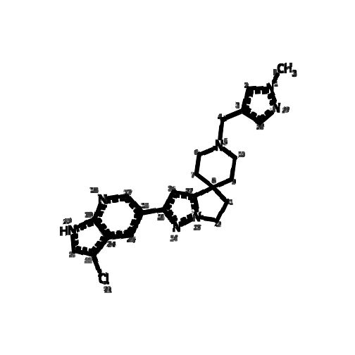 Cn1cc(CN2CCC3(CC2)CCn2nc(-c4cnc5[nH]cc(Cl)c5c4)cc23)cn1